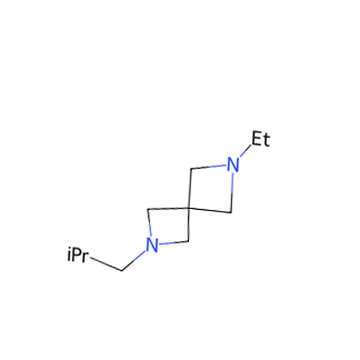 CCN1CC2(C1)CN(CC(C)C)C2